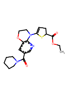 CCOC(=O)C1CC=C(N2CCOc3cc(C(=O)N4CCCCC4)cnc32)S1